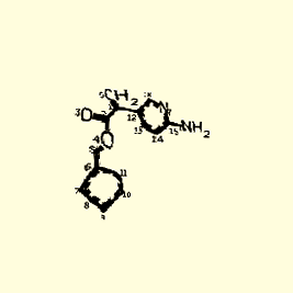 C=C(C(=O)OCc1ccccc1)c1ccc(N)nc1